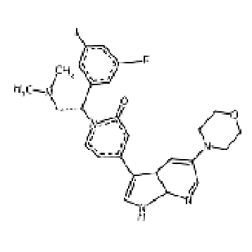 CN(C)C[C@H](c1cc(F)cc(I)c1)n1ccc(C2=CNC3N=CC(N4CCOCC4)=CC23)cc1=O